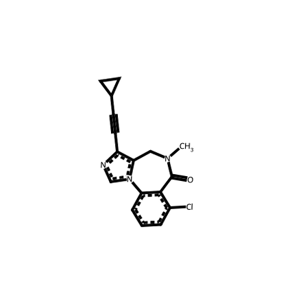 CN1Cc2c(C#CC3CC3)ncn2-c2cccc(Cl)c2C1=O